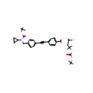 CC(C)(C)OC(=O)NC(C)(C)[C@H](NC(=O)c1ccc(C#Cc2ccc(CN(C(=O)OC(C)(C)C)C3CC3)cc2)cc1)C(=O)NO